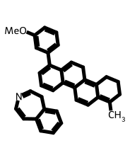 C1=Cc2ccccc2CC=N1.COc1cccc(-c2cccc3c2=CCc2c4c(ccc2=3)=C(C)CCC4)c1